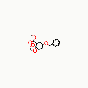 COC(=O)C1CC(OCc2ccccc2)CCC12OCCO2